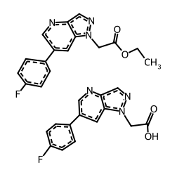 CCOC(=O)Cn1ncc2ncc(-c3ccc(F)cc3)cc21.O=C(O)Cn1ncc2ncc(-c3ccc(F)cc3)cc21